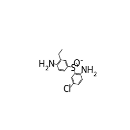 CCc1cc([S+]([O-])c2cc(Cl)ccc2N)ccc1N